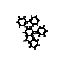 c1ccc(-c2ccccc2-c2ccc3sc4ccccc4c3c2-c2ccccc2)cc1